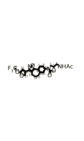 CC(=O)NCC1CN(c2ccc3c(c2)CCCc2c(-c4coc(OC(F)(F)F)c4)noc2-3)C(=O)O1